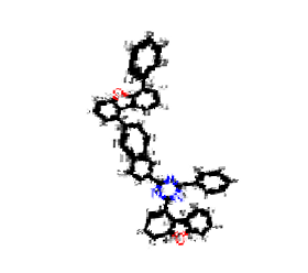 C1=C(c2nc(-c3ccccc3)nc(-c3ccc4cc(-c5cccc6oc7c(-c8ccccc8)cccc7c56)ccc4c3)n2)c2c(oc3ccccc23)CC1